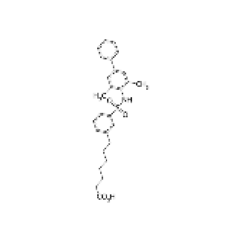 Cc1cc(-c2ccccc2)cc(C)c1NS(=O)(=O)c1cccc(CCCCCCC(=O)O)c1